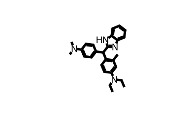 CCN(CC)c1ccc(C(c2ccc(N(C)C)cc2)c2nc3ccccc3[nH]2)c(C)c1